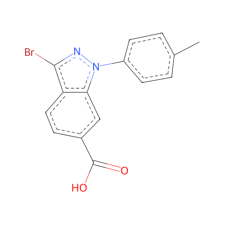 Cc1ccc(-n2nc(Br)c3ccc(C(=O)O)cc32)cc1